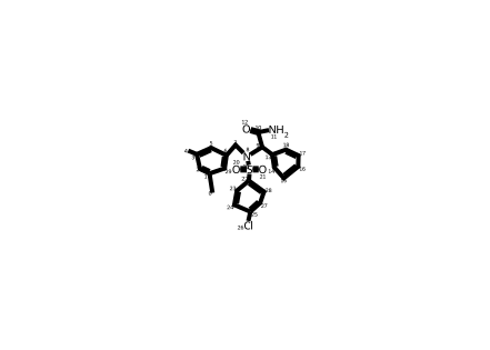 Cc1cc(C)cc(CN(C(C(N)=O)c2ccccc2)S(=O)(=O)c2ccc(Cl)cc2)c1